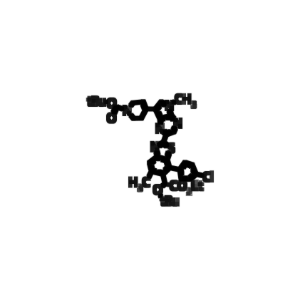 CCOC(=O)[C@@H](OC(C)(C)C)c1c(C)cc2nc(-c3cnc4c(n3)c(C3=CCN(C(=O)OC(C)(C)C)CC3)cn4C)sc2c1-c1ccc(Cl)cc1